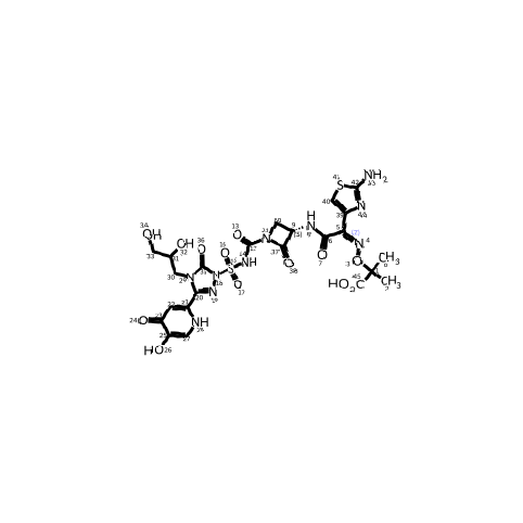 CC(C)(O/N=C(\C(=O)N[C@H]1CN(C(=O)NS(=O)(=O)n2nc(-c3cc(=O)c(O)c[nH]3)n(CC(O)CO)c2=O)C1=O)c1csc(N)n1)C(=O)O